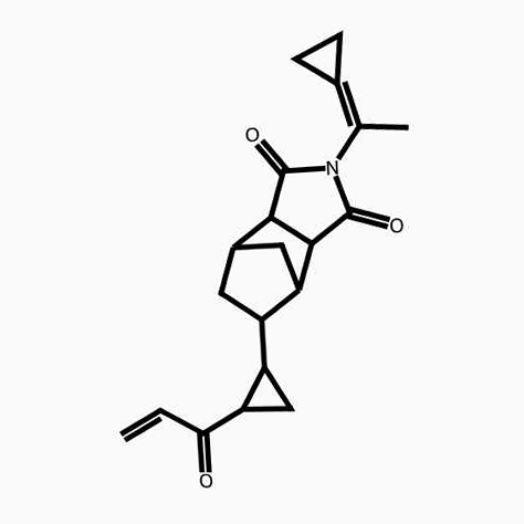 C=CC(=O)C1CC1C1CC2CC1C1C(=O)N(C(C)=C3CC3)C(=O)C21